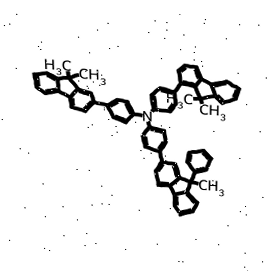 CC1(C)c2ccccc2-c2ccc(-c3ccc(N(c4ccc(-c5ccc6c(c5)C(C)(c5ccccc5)c5ccccc5-6)cc4)c4ccc(-c5cccc6c5C(C)(C)c5ccccc5-6)cc4)cc3)cc21